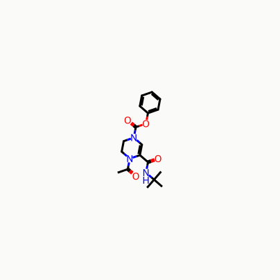 CC(=O)N1CCN(C(=O)Oc2ccccc2)C=C1C(=O)NC(C)(C)C